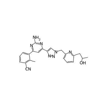 Cc1c(C#N)cccc1-c1cc(-c2cn(Cc3cccc(CC(C)O)n3)nn2)nc(N)n1